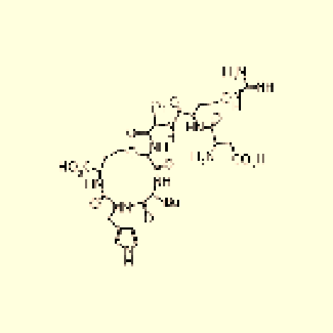 CCC(C)C1NC(=O)C(NC(=O)C(NC(=O)C(CCCNC(=N)N)NC(=O)C(N)CC(=O)O)C(C)C)CCCC(C(=O)O)NC(=O)C(Cc2cc[nH]c2)NC1=O